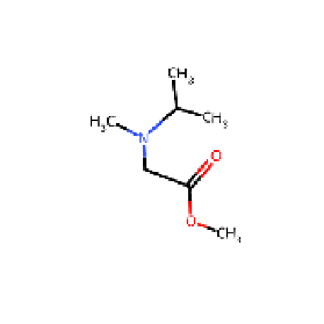 COC(=O)CN(C)C(C)C